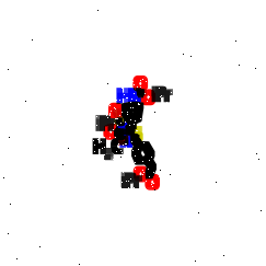 C=CC(=O)N=S(=O)(c1cc(NC(=O)OC(C)C)ccc1-c1cnc(C2CCC(CC(=O)OC(C)C)CC2)s1)C(C)C